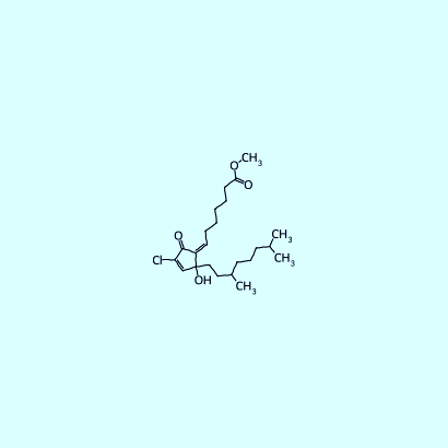 COC(=O)CCCCC/C=C1\C(=O)C(Cl)=CC1(O)CCC(C)CCCC(C)C